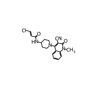 Cn1c(=O)c(C#N)c(N2CCC(NC(=O)/C=C/Cl)CC2)c2ccccc21